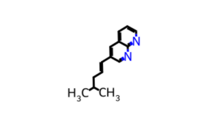 CC(C)C/C=C/c1cnc2ncccc2c1